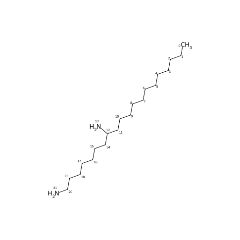 CCCCCCCCCCCCC(N)CCCCCCCN